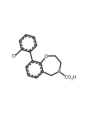 O=C(O)N1CCOc2c(cccc2-c2ccccc2Cl)C1